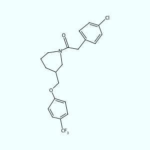 O=C(Cc1ccc(Cl)cc1)N1CCCC(COc2ccc(C(F)(F)F)cc2)C1